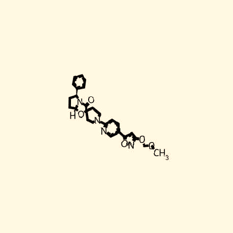 COCOc1cc(-c2ccc(N3CCC4(CC3)O[C@@H]3CC[C@@H](c5ccccc5)N3C4=O)nc2)on1